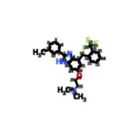 Cc1cccc(-c2nc3c(Cc4ccccc4C(F)(F)F)cc(OCCN(C)C)cc3[nH]2)c1